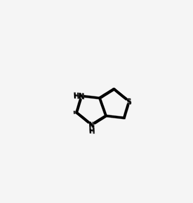 [C]1NC2CSCC2N1